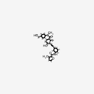 Cc1ccoc1C(=O)Nc1cccc(C#CC2C(=S)C(C(=O)N(C)c3ccc(CO)cc3)=CN=C2O)c1